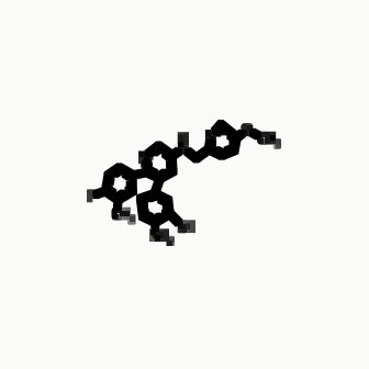 COc1ccc(CNc2cnc(-c3ccc(F)c(C)c3)c(-c3ccc(N)c(S)c3)c2)nc1